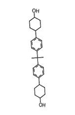 CC(C)(c1ccc(C2CCC(O)CC2)cc1)c1ccc(C2CCC(O)CC2)cc1